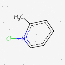 Cc1cccc[n+]1Cl